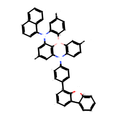 CC(C)(C)c1ccc2c(c1)B1c3ccc(C(C)(C)C)cc3N(c3cccc4ccccc34)c3cc(C(C)(C)C)cc(c31)N2c1ccc(-c2cccc3c2oc2ccccc23)cc1